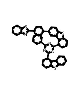 c1ccc(-c2nc(-c3cccc4sc5ccccc5c34)nc(-c3cccc4sc5ccc(-c6ccc(-c7nc8ccccc8s7)cc6)cc5c34)n2)cc1